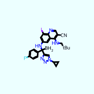 BC(Nc1cc(I)c2ncc(C#N)c(NCC(C)(C)C)c2c1)(c1ccc(F)cc1)c1cn(C2CC2)nn1